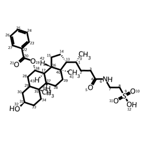 C[C@H](CCC(=O)NCCS(=O)(=O)O)[C@H]1CC[C@H]2[C@@H]3[C@@H](OC(=O)c4ccccc4)CC4C[C@H](O)CC[C@]4(C)[C@H]3CC[C@]12C